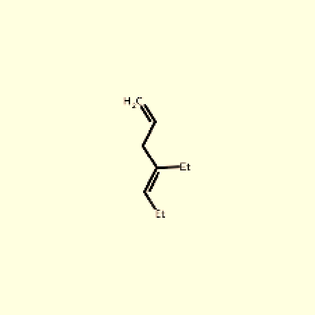 C=CC/C(=C/CC)CC